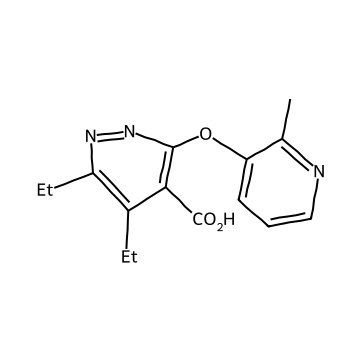 CCc1nnc(Oc2cccnc2C)c(C(=O)O)c1CC